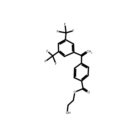 C=C(c1ccc(C(=O)OCCO)cc1)c1cc(C(F)(F)F)cc(C(F)(F)F)c1